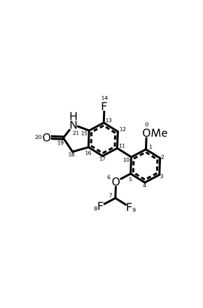 COc1cccc(OC(F)F)c1-c1cc(F)c2c(c1)CC(=O)N2